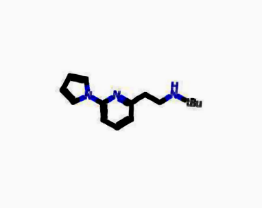 CC(C)(C)NCCc1cccc(-n2cccc2)n1